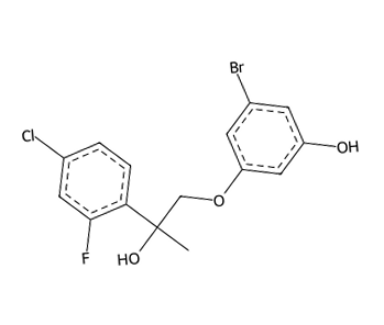 CC(O)(COc1cc(O)cc(Br)c1)c1ccc(Cl)cc1F